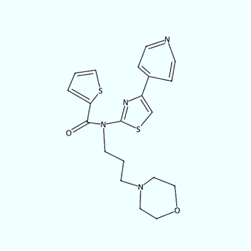 O=C(c1cccs1)N(CCCN1CCOCC1)c1nc(-c2ccncc2)cs1